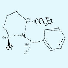 CCC[C@H]1CCC[C@H](C(=O)OCC)N1[C@@H](C)c1ccccc1